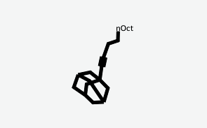 CCCCCCCCCCC#CC12CC3CC(CC(C3)C1)C2